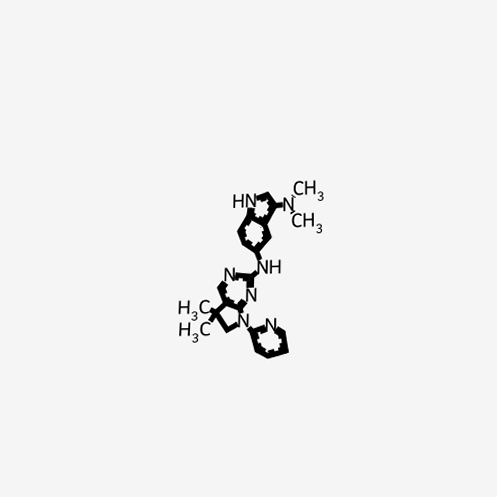 CN(C)c1c[nH]c2ccc(Nc3ncc4c(n3)N(c3ccccn3)CC4(C)C)cc12